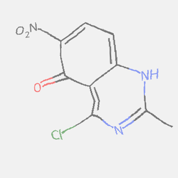 Cc1nc(Cl)c2c(=O)c([N+](=O)[O-])ccc-2[nH]1